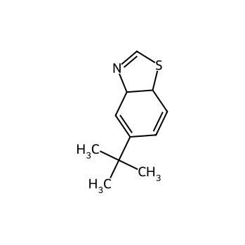 CC(C)(C)C1=CC2N=CSC2C=C1